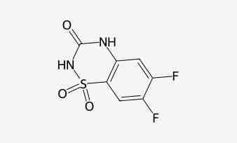 O=C1Nc2cc(F)c(F)cc2S(=O)(=O)N1